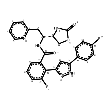 O=C1N[C@@H](C(Cc2ccccn2)NC(=O)c2cccc(F)c2-c2cc(-c3ccc(F)cc3)[nH]n2)CO1